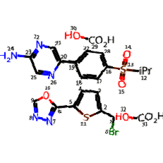 BrCc1ccc(-c2nnco2)s1.CC(C)S(=O)(=O)c1ccc(-c2cnc(N)cn2)cc1.O=C(O)O.O=C(O)O